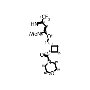 CN/C(=C\C(=N)C(F)(F)F)OC[C@@H]1CC[C@@H]1C(=O)N1CCOCC1